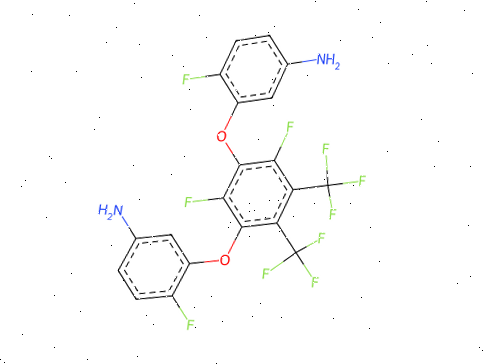 Nc1ccc(F)c(Oc2c(F)c(Oc3cc(N)ccc3F)c(C(F)(F)F)c(C(F)(F)F)c2F)c1